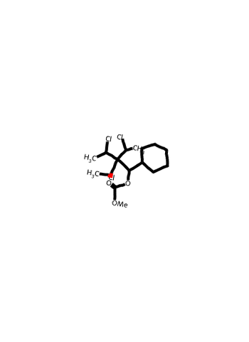 COC(=O)OC(C1CCCCC1)C(C(C)Cl)(C(C)Cl)C(C)Cl